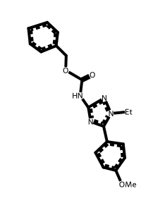 CCn1nc(NC(=O)OCc2ccccc2)nc1-c1ccc(OC)cc1